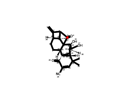 C=C1C2C(=O)C34[C@H]2[C@H]1CC[C@H]3[C@@]12CO[C@@]4(O)[C@@H](O)[C@@H]1C(C)(C)C=C(C#N)C2=O